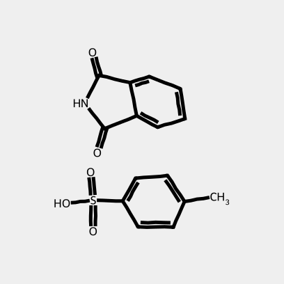 Cc1ccc(S(=O)(=O)O)cc1.O=C1NC(=O)c2ccccc21